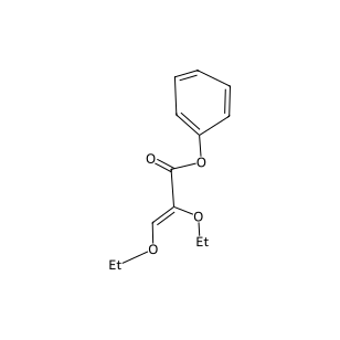 CCO/C=C(\OCC)C(=O)Oc1ccccc1